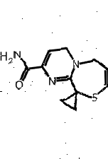 NC(=O)C1=CCN2CC=CSC3(CC3)C2=N1